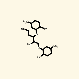 CC1CCC(C(C)C)C(OCC(O)C(CCO)OC2CC(C)CCC2C(C)C)C1